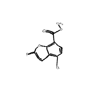 COC(=O)c1ccc(Cl)c2cc(F)oc12